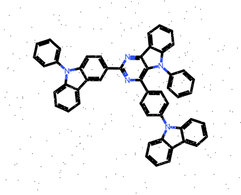 c1ccc(-n2c3ccccc3c3cc(-c4nc(-c5ccc(-n6c7ccccc7c7ccccc76)cc5)c5c(n4)c4ccccc4n5-c4ccccc4)ccc32)cc1